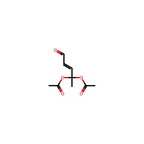 CC(=O)OC(C)(C=CC=O)OC(C)=O